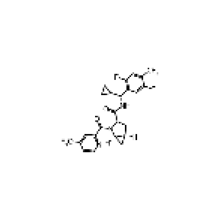 O=C(N[C@@H](c1cc(F)c(C(F)(F)F)cc1F)C1CC1)[C@H]1C[C@H]2C[C@H]2N1C(=O)c1cc(C(F)(F)F)ccn1